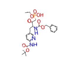 CCOP(=O)(O)CC(=O)C(Cc1ccc(NC(=O)OC(C)(C)C)nc1)NC(=O)OCc1ccccc1